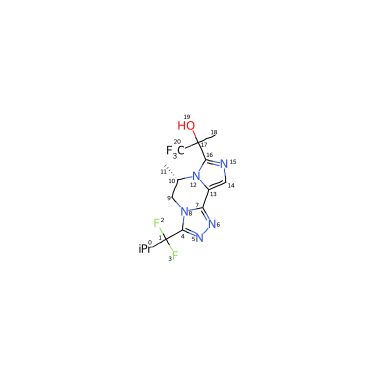 CC(C)C(F)(F)c1nnc2n1C[C@H](C)n1c-2cnc1C(C)(O)C(F)(F)F